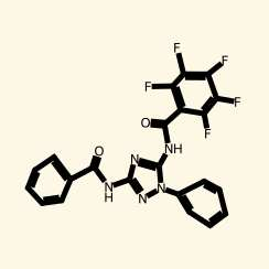 O=C(Nc1nc(NC(=O)c2c(F)c(F)c(F)c(F)c2F)n(-c2ccccc2)n1)c1ccccc1